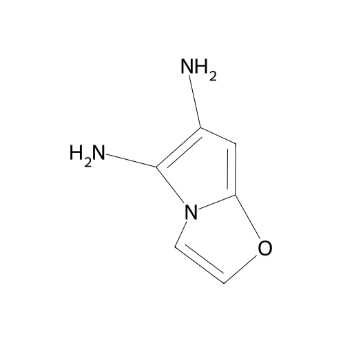 Nc1cc2occn2c1N